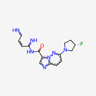 N=C/C=C\C(=N)NC(=O)c1cnc2ccc(N3CC[C@H](F)C3)nn12